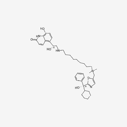 C[N+](C)(CCCCCCCCCNC[C@H](O)c1ccc(O)c2[nH]c(=O)ccc12)Cc1cnc([C@](O)(c2ccccc2)C2CCCCC2)o1